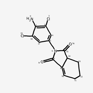 Nc1c(Cl)cc(N2C(=O)C3=CCCCC3C2=O)cc1Cl